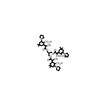 CC1(C)CC(N2CCCC2)=C(C(=O)O)/C(=C(\C#N)C(=O)OCC(COC(=O)/C(C#N)=C2\CC(C)(C)CC(N3CCCC3)=C2C(=O)O)COC(=O)/C(C#N)=C2\CC(C)(C)CC(N3CCCC3)=C2C(=O)O)C1